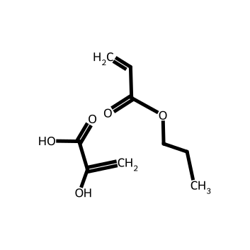 C=C(O)C(=O)O.C=CC(=O)OCCC